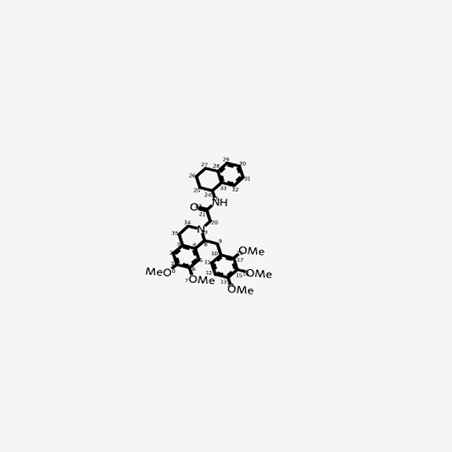 COc1cc2c(cc1OC)C(Cc1ccc(OC)c(OC)c1OC)N(CC(=O)NC1CCCc3ccccc31)CC2